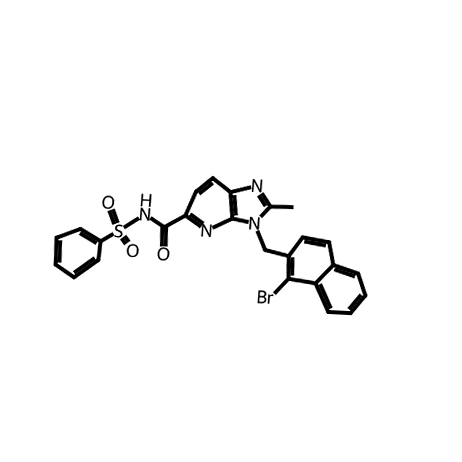 Cc1nc2ccc(C(=O)NS(=O)(=O)c3ccccc3)nc2n1Cc1ccc2ccccc2c1Br